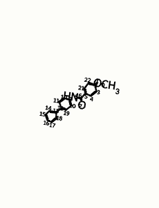 COc1ccc(C(=O)Nc2ccc(-c3ccccc3)cc2)cc1